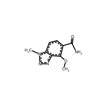 COc1c(C(N)=O)ccc2c1nnn2C